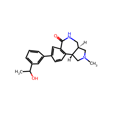 CC(O)c1cccc(-c2ccc3c(c2)C(=O)NC[C@H]2CN(C)C[C@H]32)c1